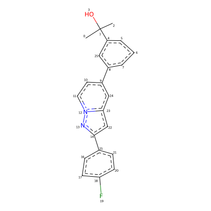 CC(C)(O)c1cccc(-c2ccn3nc(-c4ccc(F)cc4)cc3c2)c1